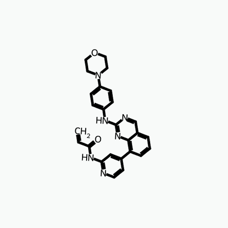 C=CC(=O)Nc1cc(-c2cccc3cnc(Nc4ccc(N5CCOCC5)cc4)nc23)ccn1